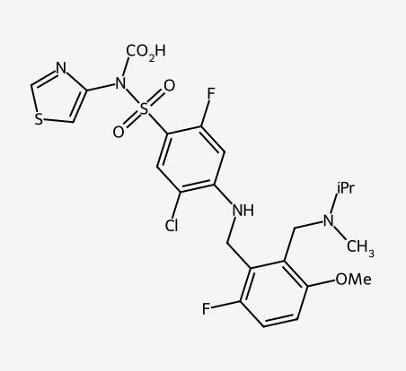 COc1ccc(F)c(CNc2cc(F)c(S(=O)(=O)N(C(=O)O)c3cscn3)cc2Cl)c1CN(C)C(C)C